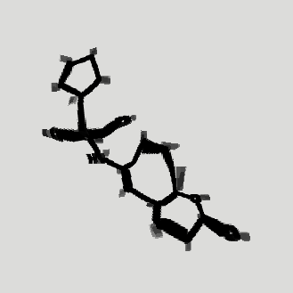 O=c1ccc2cc(NS(=O)(=O)C3CCCC3)ccc2o1